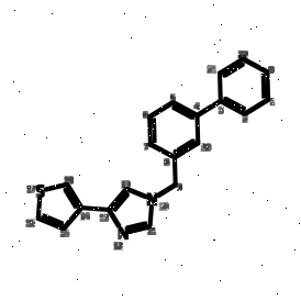 c1ccc(-c2cccc(Cn3cnc(-c4ccsc4)c3)c2)cc1